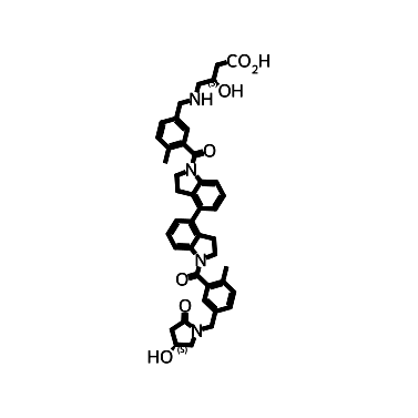 Cc1ccc(CNC[C@@H](O)CC(=O)O)cc1C(=O)N1CCc2c(-c3cccc4c3CCN4C(=O)c3cc(CN4C[C@@H](O)CC4=O)ccc3C)cccc21